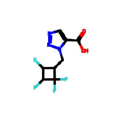 O=C(O)c1cnnn1CC1C(F)C(F)C1(F)F